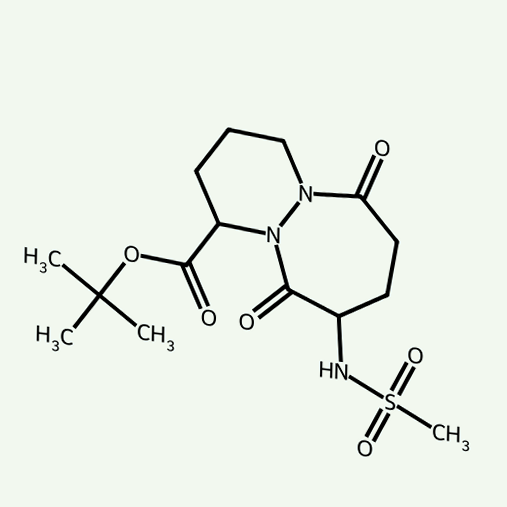 CC(C)(C)OC(=O)C1CCCN2C(=O)CCC(NS(C)(=O)=O)C(=O)N12